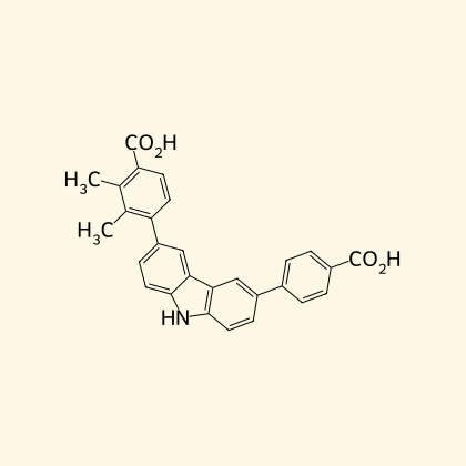 Cc1c(C(=O)O)ccc(-c2ccc3[nH]c4ccc(-c5ccc(C(=O)O)cc5)cc4c3c2)c1C